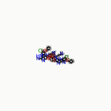 CCOc1cc2ncc(C#N)c(Nc3ccc(OCc4ccccc4)c(Cl)c3)c2cc1NC(/C=C/CN(C)C)OC(=O)/C=C\C(=O)N(C/C=C/CN(C)C)c1cc2c(Nc3ccc(OCc4ccccc4)c(Cl)c3)c(C#N)cnc2cc1OCC